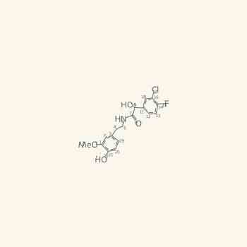 COc1cc(CCNC(=O)[C@H](O)c2ccc(F)c(Cl)c2)ccc1O